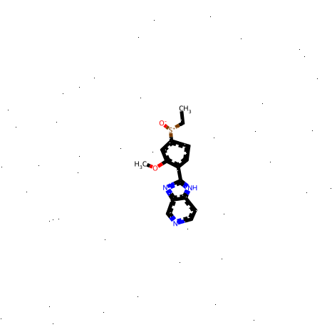 CC[S+]([O-])c1ccc(-c2nc3cnccc3[nH]2)c(OC)c1